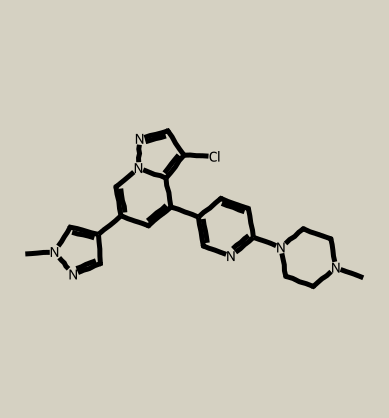 CN1CCN(c2ccc(-c3cc(-c4cnn(C)c4)cn4ncc(Cl)c34)cn2)CC1